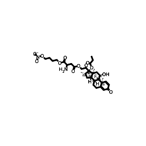 CCC(=O)O[C@]1(C(=O)COC(=O)CC(N)C(=O)OCCCCO[N+](=O)[O-])[C@@H](C)C[C@H]2[C@@H]3CCC4=CC(=O)C=C[C@]4(C)[C@@]3(F)[C@@H](O)C[C@@]21C